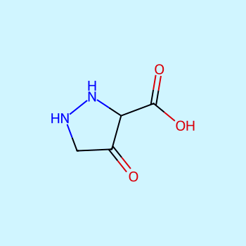 O=C(O)C1NNCC1=O